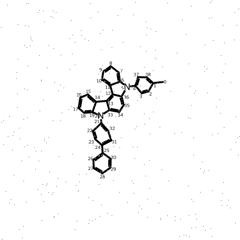 Cc1ccc(-n2c3ccccc3c3c4c5ccccc5n(-c5ccc(-c6ccccc6)cc5)c4ccc32)cc1